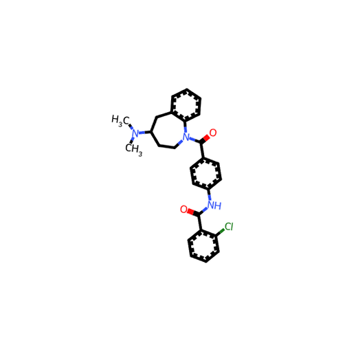 CN(C)C1CCN(C(=O)c2ccc(NC(=O)c3ccccc3Cl)cc2)c2ccccc2C1